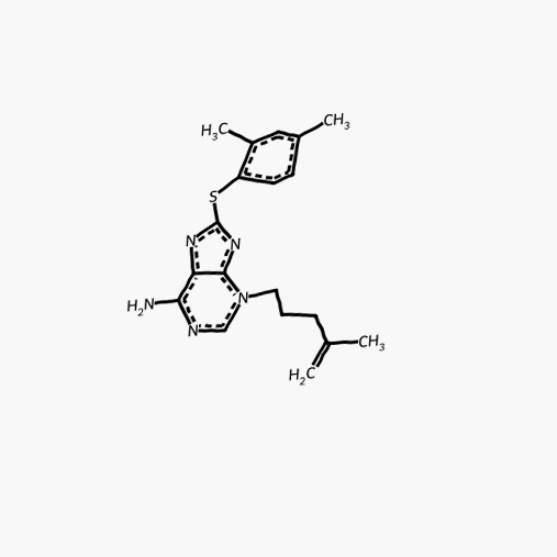 C=C(C)CCCn1cnc(N)c2nc(Sc3ccc(C)cc3C)nc1-2